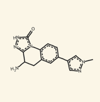 Cn1cc(-c2ccc3c(c2)CC(N)c2n[nH]c(=O)n2-3)cn1